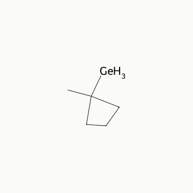 C[C]1([GeH3])CCC1